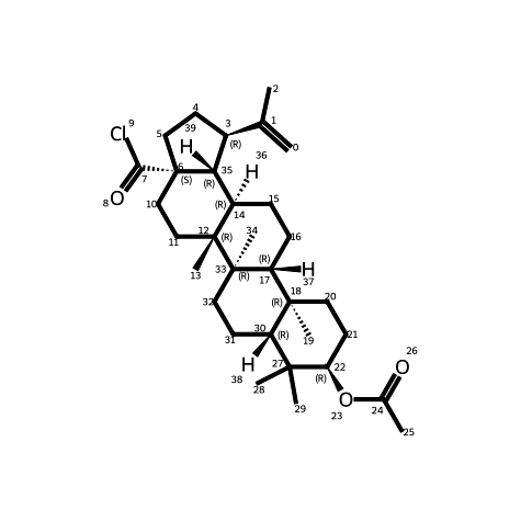 C=C(C)[C@@H]1CC[C@]2(C(=O)Cl)CC[C@]3(C)[C@H](CC[C@@H]4[C@@]5(C)CC[C@@H](OC(C)=O)C(C)(C)[C@@H]5CC[C@]43C)[C@@H]12